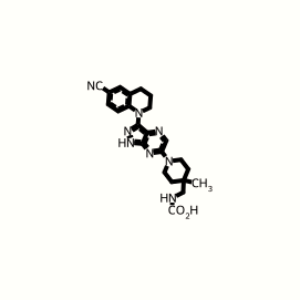 CC1(CNC(=O)O)CCN(c2cnc3c(N4CCCc5cc(C#N)ccc54)n[nH]c3n2)CC1